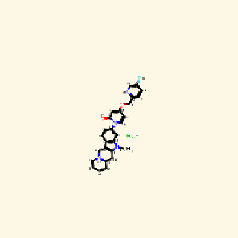 Cl.Cn1c2c(c3ccc(-n4ccc(OCc5ccc(F)cn5)cc4=O)cc31)CN1CCCCC1C2